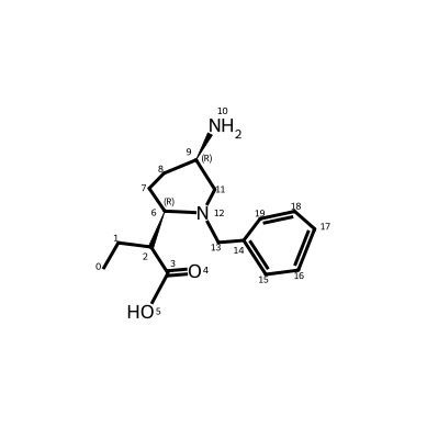 CCC(C(=O)O)[C@H]1CC[C@@H](N)CN1Cc1ccccc1